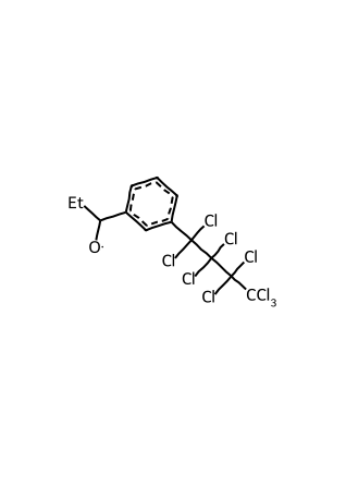 CCC([O])c1cccc(C(Cl)(Cl)C(Cl)(Cl)C(Cl)(Cl)C(Cl)(Cl)Cl)c1